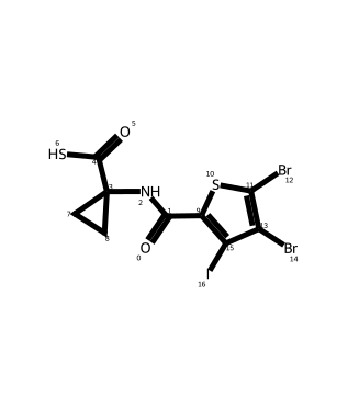 O=C(NC1(C(=O)S)CC1)c1sc(Br)c(Br)c1I